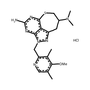 COc1c(C)cnc(Cn2nc3c4c(nc(N)nc42)SCC(N(C)C)C3)c1C.Cl